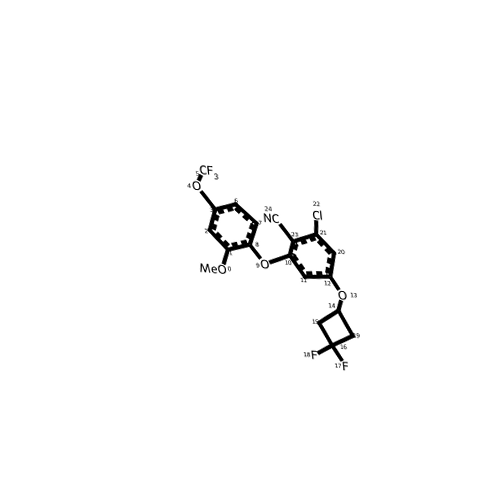 COc1cc(OC(F)(F)F)ccc1Oc1cc(OC2CC(F)(F)C2)cc(Cl)c1C#N